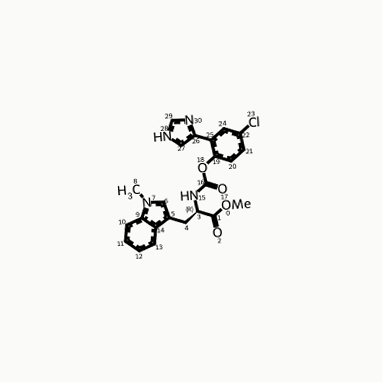 COC(=O)[C@@H](Cc1cn(C)c2ccccc12)NC(=O)Oc1ccc(Cl)cc1-c1c[nH]cn1